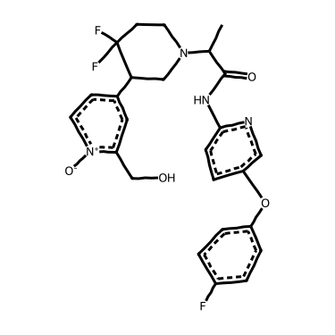 CC(C(=O)Nc1ccc(Oc2ccc(F)cc2)cn1)N1CCC(F)(F)C(c2cc[n+]([O-])c(CO)c2)C1